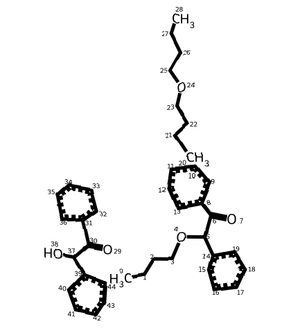 CCCCOC(C(=O)c1ccccc1)c1ccccc1.CCCCOCCCC.O=C(c1ccccc1)C(O)c1ccccc1